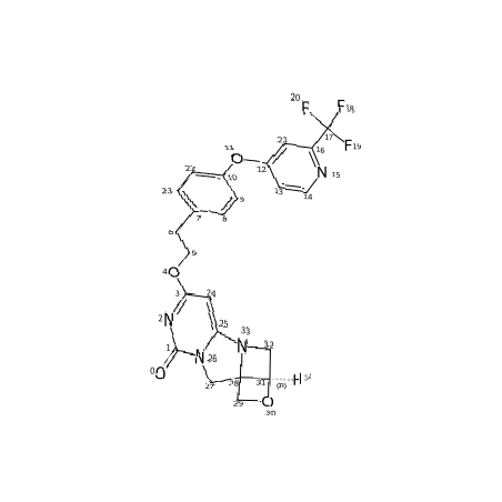 O=c1nc(OCCc2ccc(Oc3ccnc(C(F)(F)F)c3)cc2)cc2n1CC13CO[C@@H]1CN23